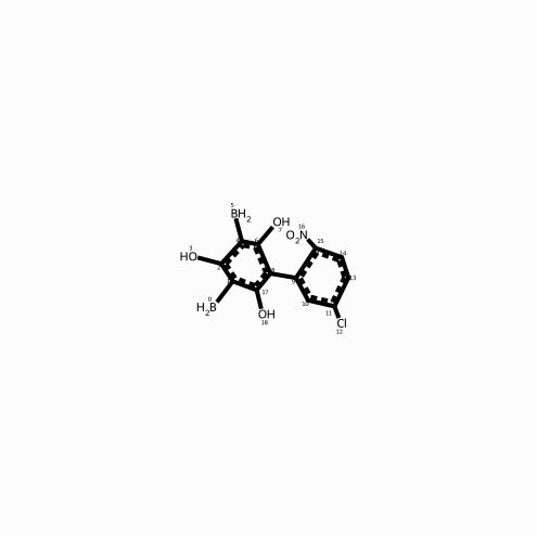 Bc1c(O)c(B)c(O)c(-c2cc(Cl)ccc2[N+](=O)[O-])c1O